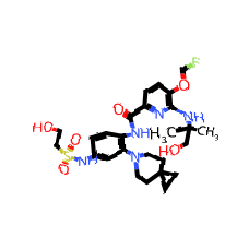 CC(C)(CO)Nc1nc(C(=O)Nc2ccc(NS(=O)(=O)CCO)cc2N2CCC3(CC2)CC3)ccc1OCF